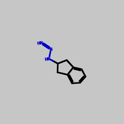 N=NNC1Cc2ccccc2C1